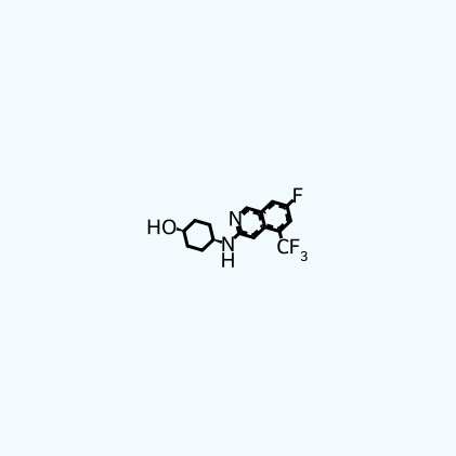 O[C@H]1CC[C@@H](Nc2cc3c(C(F)(F)F)cc(F)cc3cn2)CC1